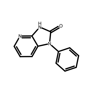 O=c1[nH]c2ncccc2n1-c1ccccc1